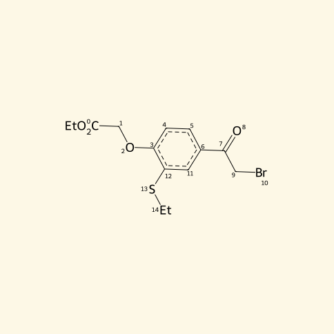 CCOC(=O)COc1ccc(C(=O)CBr)cc1SCC